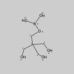 OCC(CO)(CO)COB(O)O